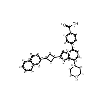 O=C(O)c1ccc(-c2cnc(N3CCOCC3)c3nc(C4CC(c5ccc6ccccc6n5)C4)cn23)cc1